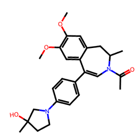 COc1cc2c(cc1OC)C(c1ccc(N3CCC(C)(O)C3)cc1)=CN(C(C)=O)C(C)C2